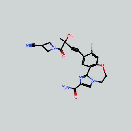 CC(O)(C#Cc1cc2c(cc1F)OCCn1cc(C(N)=O)nc1-2)C(=O)N1CC(C#N)C1